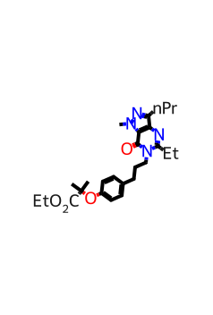 CCCc1nn(C)c2c(=O)n(CCCc3ccc(OC(C)(C)C(=O)OCC)cc3)c(CC)nc12